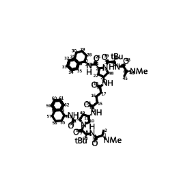 CN[C@@H](C)C(=O)N[C@H](C(=O)N1C[C@@H](NC(=O)CCCC(=O)N[C@H]2C[C@@H](C(=O)N[C@@H]3CCCc4ccccc43)N(C(=O)[C@@H](NC(=O)[C@H](C)NC)C(C)(C)C)C2)C[C@H]1C(=O)N[C@@H]1CCCc2ccccc21)C(C)(C)C